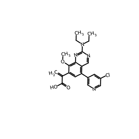 C=C(C(=O)O)c1cc(-c2cncc(Cl)c2)c2cnc(N(CC)CC)nc2c1OC